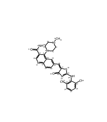 CN1CCN(c2c(C(N)=O)cnc3ccc(C=C4SC(Nc5c(Cl)cccc5Cl)=NC4=O)cc23)CC1